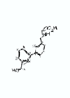 O=C(O)NCc1cccc(-c2cccc(CO)n2)c1